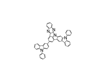 c1ccc(-n2c3ccccc3c3cc(-c4cc5c6cc7c8ccccc8n(-c8ccccc8)c7cc6n6c7nc8ccccc8nc7c(c4)c56)ccc32)cc1